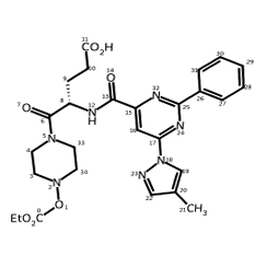 CCOC(=O)ON1CCN(C(=O)[C@H](CCC(=O)O)NC(=O)c2cc(-n3cc(C)cn3)nc(-c3ccccc3)n2)CC1